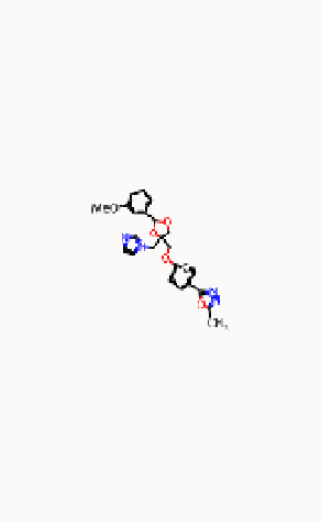 COc1cccc(C2OCC(COc3ccc(-c4nnc(C)o4)cc3)(Cn3ccnc3)O2)c1